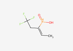 CC=C(CC(F)(F)F)[PH](=O)O